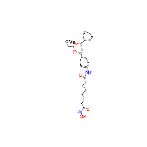 COCC1OC(c2ccccc2)CC(c2ccc(NC(=O)CCCCCCC(=O)NO)cc2)O1